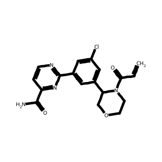 C=CC(=O)N1CCOCC1c1cc(Cl)cc(-c2nccc(C(N)=O)n2)c1